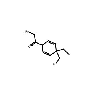 CC(C)CC(=O)C1C=CC(CBr)(CBr)C=C1